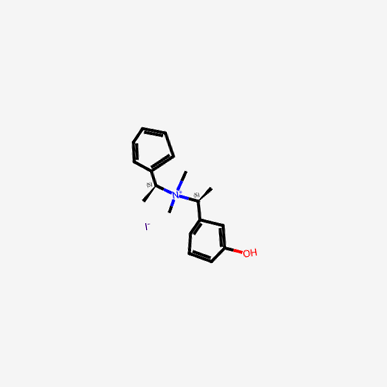 C[C@@H](c1ccccc1)[N+](C)(C)[C@@H](C)c1cccc(O)c1.[I-]